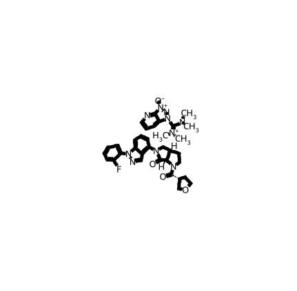 CN(C)C(n1n[n+]([O-])c2ncccc21)=[N+](C)C.O=C1[C@H]2[C@H](CCN2C(=O)[C@@H]2CCOC2)CN1c1cccc2c1cnn2-c1ccccc1F